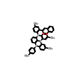 CC(C)(C)c1ccc(N2c3ccc(C(C)(C)C)cc3B3c4cc(C(C)(C)C)ccc4N(c4ccc(C(C)(C)C)cc4-c4ccc5ccccc5c4)c4cccc2c43)cc1